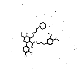 COc1ccc(CCCOC(=O)C2=C(COCCN3CCCCC3)NC(SC)=NC2c2ccc(Cl)c(Cl)c2)cc1OC